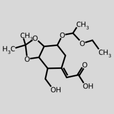 CCOC(C)OC1CC(=CC(=O)O)C(CO)C2OC(C)(C)OC12